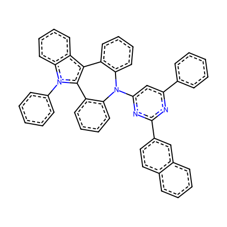 c1ccc(-c2cc(N3c4ccccc4-c4c(n(-c5ccccc5)c5ccccc45)-c4ccccc43)nc(-c3ccc4ccccc4c3)n2)cc1